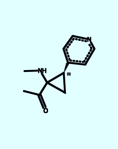 CNC1(C(C)=O)C[C@H]1c1ccncc1